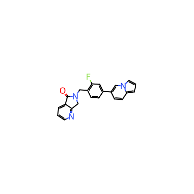 O=C1c2cccnc2CN1Cc1ccc(-c2ccc3cccn3c2)cc1F